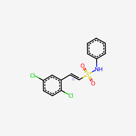 O=S(=O)(/C=C/c1cc(Cl)ccc1Cl)Nc1ccccc1